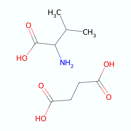 CC(C)C(N)C(=O)O.O=C(O)CCC(=O)O